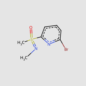 CN=S(C)(=O)c1cccc(Br)n1